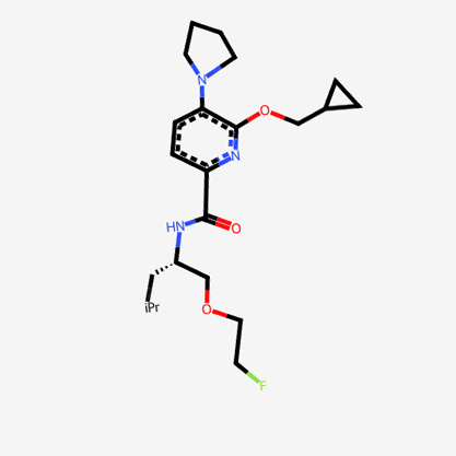 CC(C)C[C@@H](COCCF)NC(=O)c1ccc(N2CCCC2)c(OCC2CC2)n1